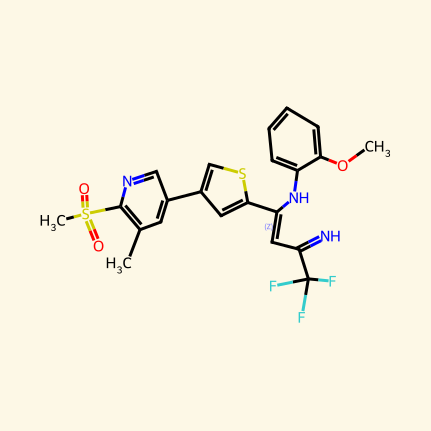 COc1ccccc1N/C(=C\C(=N)C(F)(F)F)c1cc(-c2cnc(S(C)(=O)=O)c(C)c2)cs1